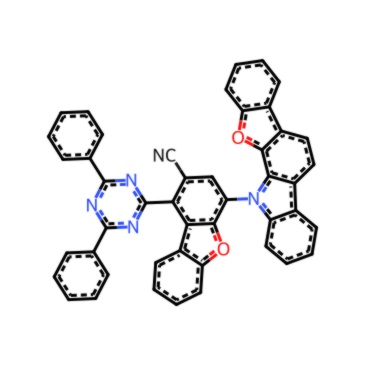 N#Cc1cc(-n2c3ccccc3c3ccc4c5ccccc5oc4c32)c2oc3ccccc3c2c1-c1nc(-c2ccccc2)nc(-c2ccccc2)n1